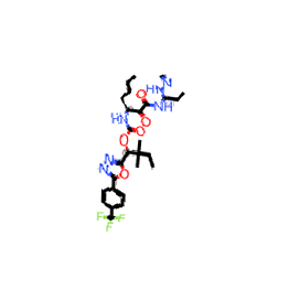 C=NN/C(=C\C)NC(=O)C(=O)[C@H](CCCC)NC(=O)O[C@H](c1nnc(-c2ccc(C(F)(F)F)cc2)o1)C(C)(C)CC